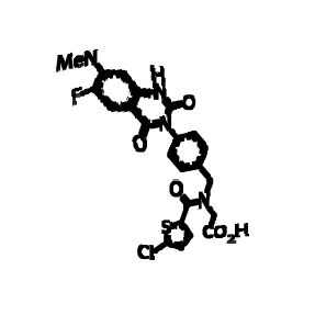 CNc1cc2[nH]c(=O)n(-c3ccc(CN(CC(=O)O)C(=O)c4ccc(Cl)s4)cc3)c(=O)c2cc1F